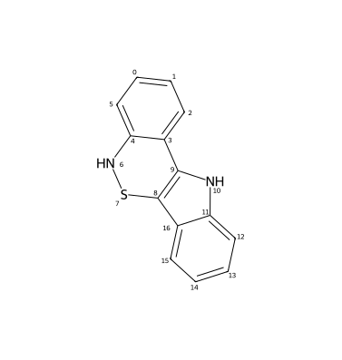 c1ccc2c(c1)NSc1c-2[nH]c2ccccc12